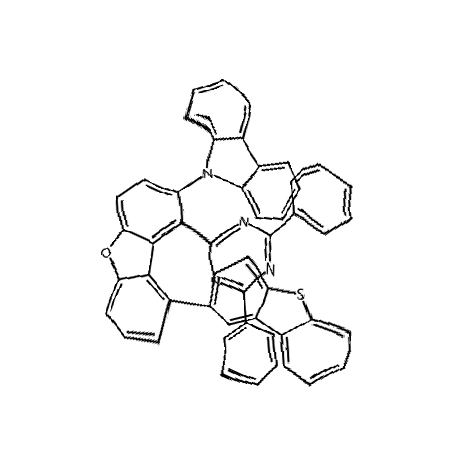 c1ccc(-c2nc(-c3ccccc3)nc(-c3c(-n4c5ccccc5c5ccccc54)ccc4oc5cccc(-c6ccc7sc8ccccc8c7c6)c5c34)n2)cc1